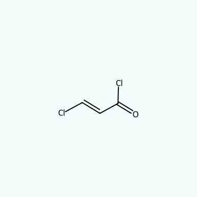 O=C(Cl)/C=C/Cl